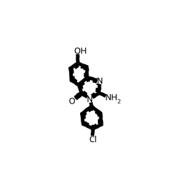 Nc1nc2cc(O)ccc2c(=O)n1-c1ccc(Cl)cc1